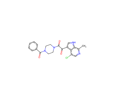 Cc1ncc(Cl)c2c(C(=O)C(=O)N3CCN(C(=O)c4ccccc4)CC3)c[nH]c12